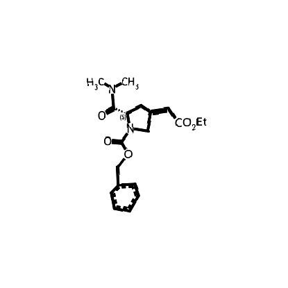 CCOC(=O)C=C1C[C@@H](C(=O)N(C)C)N(C(=O)OCc2ccccc2)C1